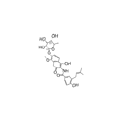 COc1c(O[C@@H]2OC(C)[C@@H](O)C(O)C2O)ccc2c1CC(=O)C(NC(=O)c1ccc(O)c(CC=C(C)C)c1)=C2O